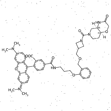 CN(C)c1ccc2c(-c3ccc(C(=O)NCCCOc4ccccc4COCC4CN(C(=O)N5CC[C@@H]6OCC(=O)N[C@@H]6C5)C4)cc3C(=O)[O-])c3ccc(=[N+](C)C)cc-3oc2c1